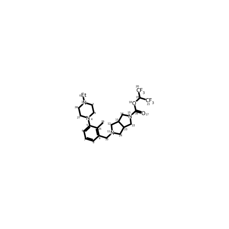 CCN1CCN(c2cccc(CN3CC4CN(C(=O)OC(C(F)(F)F)C(F)(F)F)CC4C3)c2C)CC1